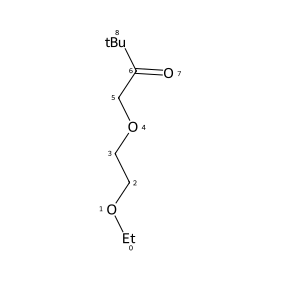 CCOCCOCC(=O)C(C)(C)C